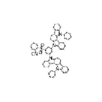 N#Cc1ccccc1S(=O)(=O)c1cc(-n2c3ccccc3c3c2ccc2c4ccccc4n(-c4ccccc4)c23)cc(-n2c3ccccc3c3c2ccc2c4ccccc4n(-c4ccccc4)c23)c1